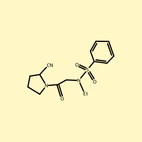 CCN(CC(=O)N1CCCC1C#N)S(=O)(=O)c1ccccc1